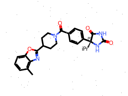 Cc1cccc2oc(C3CCN(C(=O)c4ccc([C@@]5(C(C)C)NC(=O)NC5=O)cc4)CC3)nc12